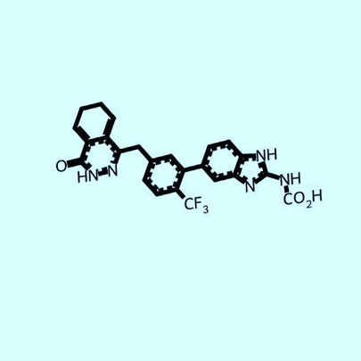 O=C(O)Nc1nc2cc(-c3cc(Cc4n[nH]c(=O)c5c4=CCCC=5)ccc3C(F)(F)F)ccc2[nH]1